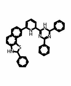 C1=CC(C2=NC(c3ccccc3)=NC(c3ccccc3)N2)NC(c2ccc3ccc4c(c3c2)SC(c2ccccc2)N4)=C1